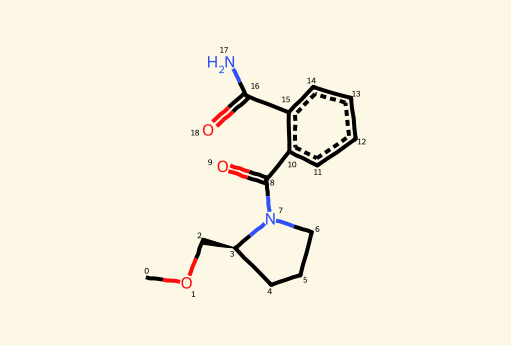 COC[C@@H]1CCCN1C(=O)c1ccccc1C(N)=O